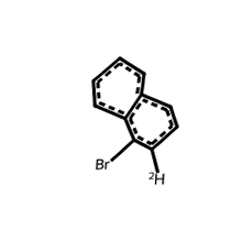 [2H]c1ccc2ccccc2c1Br